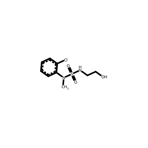 CN(c1ccccc1Cl)S(=O)(=O)NCCO